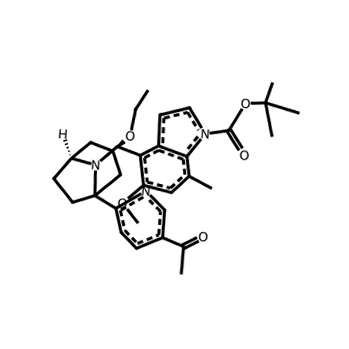 CCO[C@@H]1C[C@@H]2CCC(c3ccc(C(C)=O)cn3)(C1)N2Cc1c(OC)cc(C)c2c1ccn2C(=O)OC(C)(C)C